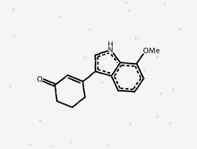 COc1cccc2c(C3=CC(=O)CCC3)c[nH]c12